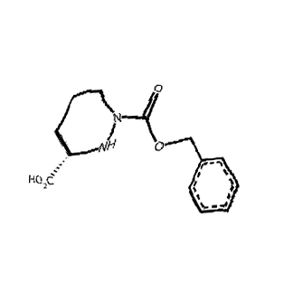 O=C(O)[C@@H]1CCCN(C(=O)OCc2ccccc2)N1